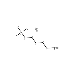 CCCCCCCCCCC[N+](C)(C)C.[Br-]